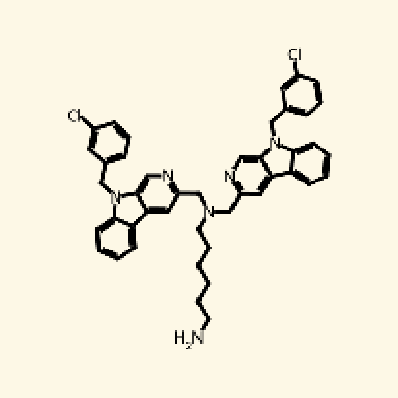 NCCCCCCN(Cc1cc2c3ccccc3n(Cc3cccc(Cl)c3)c2cn1)Cc1cc2c3ccccc3n(Cc3cccc(Cl)c3)c2cn1